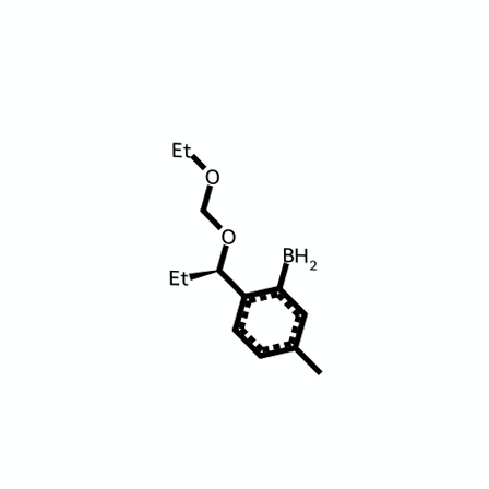 Bc1cc(C)ccc1[C@@H](CC)OCOCC